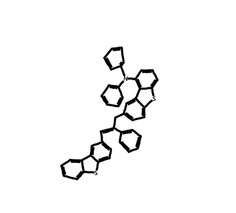 C(=C(\Cc1ccc2sc3cccc(N(c4ccccc4)c4ccccc4)c3c2c1)c1ccccc1)/c1ccc2sc3ccccc3c2c1